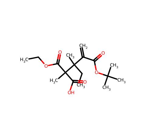 C=C(C(=O)OC(C)(C)C)C(C)(CC)C(C)(C(=O)O)C(=O)OCC